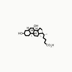 C[C@H](CCCC(=O)O)[C@H]1CC[C@H]2[C@@H]3[C@@H](O)C[C@@H]4C[C@H](O)CC[C@]4(C)[C@H]3CC[C@]12C